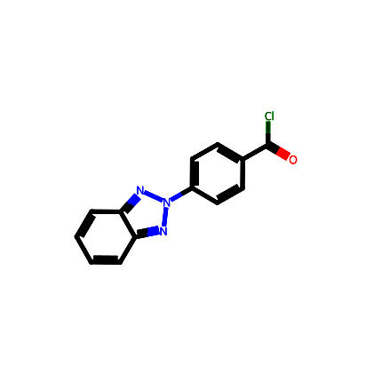 O=C(Cl)c1ccc(-n2nc3ccccc3n2)cc1